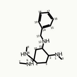 CNC1CCC(NC)(NC)CC1NCc1ccccc1